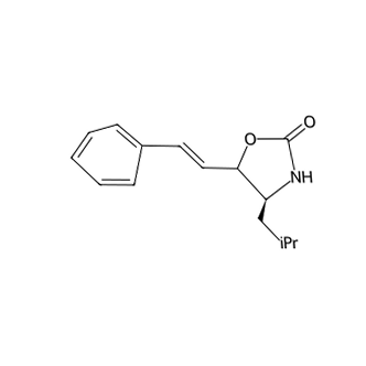 CC(C)C[C@@H]1NC(=O)OC1/C=C/c1ccccc1